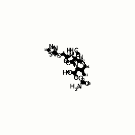 CO[C@@]1(NC(=O)CSc2nncs2)C(=O)N2C(C(=O)O)=C(COC(N)=O)CS[C@H]21